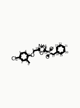 Cc1cc(Cl)ccc1OCc1nnc(S(=O)(=O)Cc2ccccc2)o1